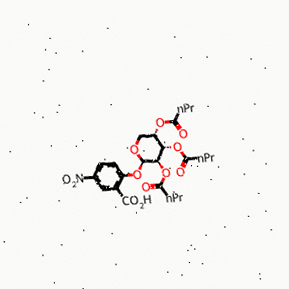 CCCC(=O)O[C@@H]1[C@@H](OC(=O)CCC)[C@@H](Oc2ccc([N+](=O)[O-])cc2C(=O)O)OC[C@@H]1OC(=O)CCC